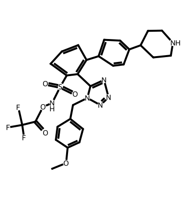 COc1ccc(Cn2nnnc2-c2c(-c3ccc(C4CCNCC4)cc3)cccc2S(=O)(=O)NOC(=O)C(F)(F)F)cc1